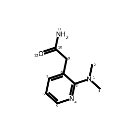 CN(C)c1ncccc1CC(N)=O